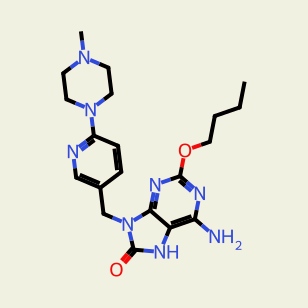 CCCCOc1nc(N)c2[nH]c(=O)n(Cc3ccc(N4CCN(C)CC4)nc3)c2n1